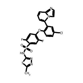 Cc1nnc(NS(=O)(=O)c2cc(F)c(Oc3ccc(Cl)cc3-c3cccc4nccn34)cc2F)s1